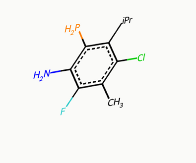 Cc1c(F)c(N)c(P)c(C(C)C)c1Cl